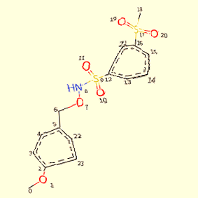 COc1ccc(CONS(=O)(=O)c2cccc(S(C)(=O)=O)c2)cc1